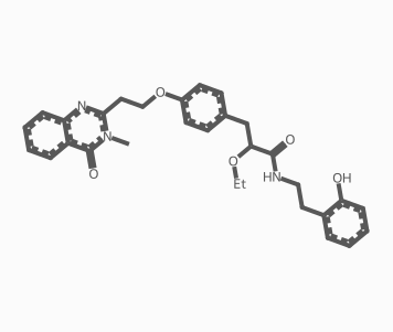 CCOC(Cc1ccc(OCCc2nc3ccccc3c(=O)n2C)cc1)C(=O)NCCc1ccccc1O